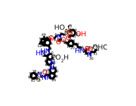 C/C(NCC12CC3(OCCN(CCS)C(=O)OCc4ccc(CCCNC(=O)CN(C)C(=O)/C=C\C=O)cc4OC4CC(O)CC(C(=O)O)O4)CC4(C)CC(C)(C1)C4(C2)C3)=C(/C=N)c1ccc(N2CCc3cccc(C(=O)Nc4nc5ccccc5s4)c3C2)nc1C(=O)O